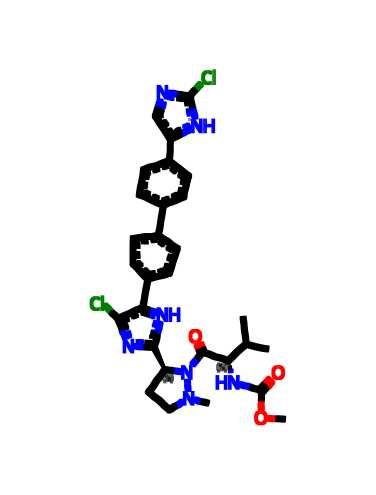 COC(=O)N[C@H](C(=O)N1[C@H](c2nc(Cl)c(-c3ccc(-c4ccc(-c5cnc(Cl)[nH]5)cc4)cc3)[nH]2)CCN1C)C(C)C